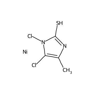 Cc1nc(S)n(Cl)c1Cl.[Ni]